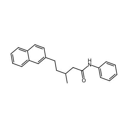 CC(CCc1ccc2ccccc2c1)CC(=O)Nc1ccccc1